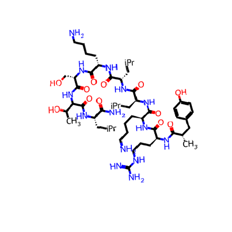 CC(C)C[C@H](NC(=O)C(NC(=O)[C@H](CO)NC(=O)[C@H](CCCCN)NC(=O)[C@H](CC(C)C)NC(=O)[C@H](CC(C)C)NC(=O)[C@H](CCCCN)NC(=O)[C@H](CCCNC(=N)N)NC(=O)[C@@H](C)Cc1ccc(O)cc1)C(C)O)C(N)=O